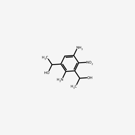 CC(O)c1cc(N)c([N+](=O)[O-])c(C(C)O)c1N